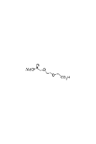 COC(=O)COCCOCC(=O)O